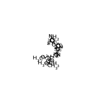 COCCN(CCn1cnc(-c2cc3nccc(Oc4ccc(N)cc4F)c3s2)c1)C(=O)OC(C)(C)C